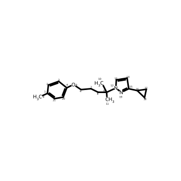 Cc1ccc(OCCCC(C)(C)n2ccc(C3CC3)n2)cc1